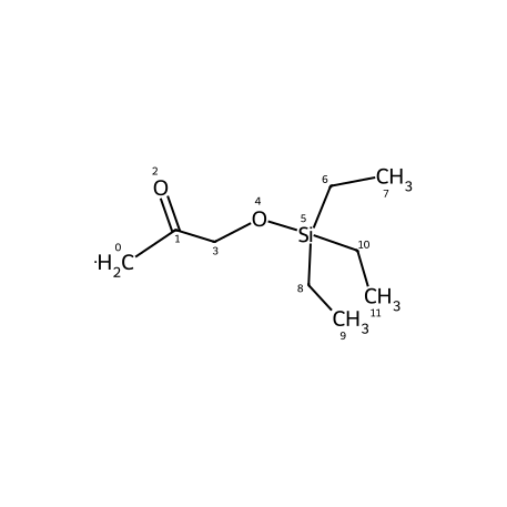 [CH2]C(=O)CO[Si](CC)(CC)CC